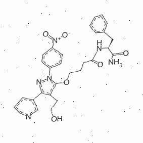 NC(=O)[C@H](Cc1ccccc1)NC(=O)CCCOc1c(CCO)c(-c2cccnc2)nn1-c1ccc([N+](=O)[O-])cc1